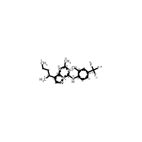 CCCC(C)c1cnn2c(Nc3ccc(C(F)(F)F)cc3Cl)nc(C)nc12